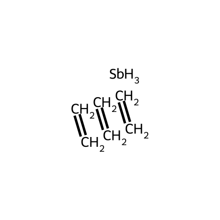 C=C.C=C.C=C.[SbH3]